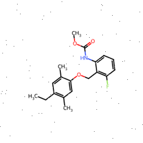 CCc1cc(C)c(OCc2c(F)cccc2NC(=O)OC)cc1C